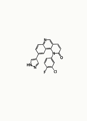 O=c1ccc2cnc3ccc(-c4cn[nH]c4)cc3c2n1-c1ccc(F)c(Cl)c1